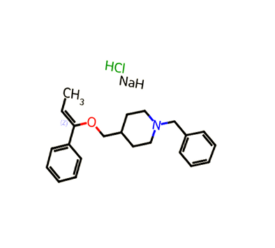 C/C=C(\OCC1CCN(Cc2ccccc2)CC1)c1ccccc1.Cl.[NaH]